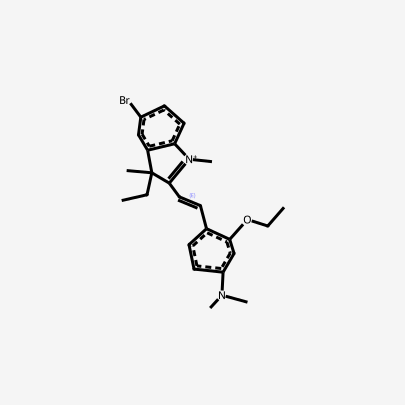 CCOc1cc(N(C)C)ccc1/C=C/C1=[N+](C)c2ccc(Br)cc2C1(C)CC